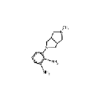 CN1CC2CN(c3cccc(N)c3N)CC2C1